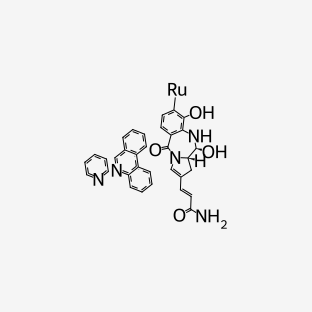 Cc1ccc2c(c1O)N[C@@H](O)[C@@H]1CC(/C=C/C(N)=O)=CN1C2=O.[Ru].c1ccc2c(c1)cnc1ccccc12.c1ccncc1